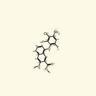 COC(=O)c1cc2c(Oc3c(F)cc(N)c(Cl)c3F)ccnc2cc1OC